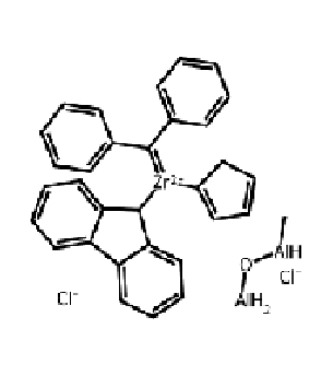 C1=CC[C]([Zr+2](=[C](c2ccccc2)c2ccccc2)[CH]2c3ccccc3-c3ccccc32)=C1.[CH3][AlH][O][AlH2].[Cl-].[Cl-]